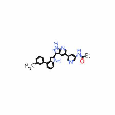 CCC(=O)Nc1cncc(-c2cnc3[nH]nc(-c4cc5c(-c6cccc(C)c6)cccc5[nH]4)c3c2)c1